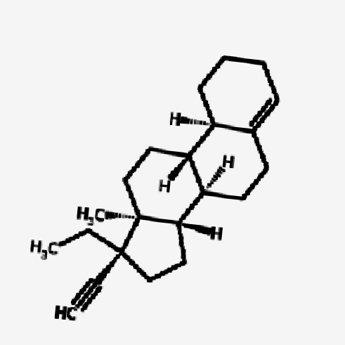 C#C[C@]1(CC)CC[C@H]2[C@@H]3CCC4=CCCC[C@@H]4[C@H]3CC[C@@]21C